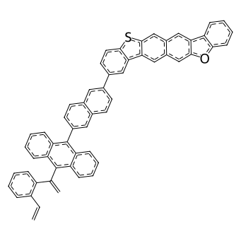 C=Cc1ccccc1C(=C)c1c2ccccc2c(-c2ccc3cc(-c4ccc5sc6cc7cc8c(cc7cc6c5c4)oc4ccccc48)ccc3c2)c2ccccc12